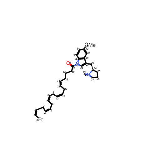 CC/C=C\C/C=C\C/C=C\C/C=C\C/C=C\CCCC(=O)n1cc(C[C@H]2CCCN2C)c2cc(OC)ccc21